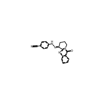 N#Cc1ccc(NN=C2CCCn3c2nc2ccccc2c3=O)cc1